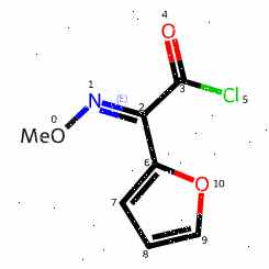 CO/N=C(/C(=O)Cl)c1ccco1